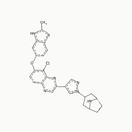 Cc1nc2ccc(Oc3ccc4ncc(-c5cnn(C6CC7CCC(C6)N7)c5)nc4c3Cl)cc2[nH]1